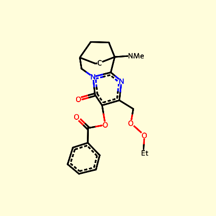 CCOOCc1nc2n(c(=O)c1OC(=O)c1ccccc1)CC1CCC2(NC)CC1